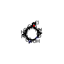 C/C=C(\C)[C@H]1OC(=O)[C@@H](C)NC(=O)C(C(C)CC)NC(=O)CN(C)C(=O)[C@@H](Cc2ccc(Cl)cc2)N(C)C(=O)[C@H](C)NC(=O)[C@@H](CC(C)C)OC(=O)/C(C)=C/C[C@H](O)[C@@H]1C